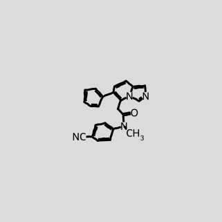 CN(C(=O)Cc1c(-c2ccccc2)ccc2cncn12)c1ccc(C#N)cc1